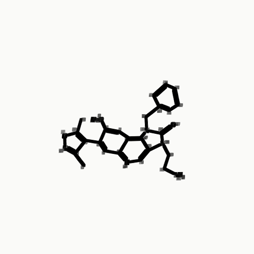 COc1cc2c(cc1-c1c(C)noc1C)ncc1c2n(Cc2ccccc2)c(=O)n1CCN